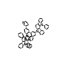 c1ccc(-c2nc(-c3ccccc3)nc(-c3ccc(-n4c5ccccc5c5c4ccc4c6ccccc6n(-c6ccccc6)c45)cc3-c3cc(-c4cccnc4)ccc3-n3c4ccccc4c4c3ccc3c5ccccc5n(-c5ccccc5)c34)n2)cc1